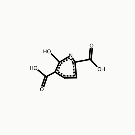 O=C(O)c1ccc(C(=O)O)c(O)n1